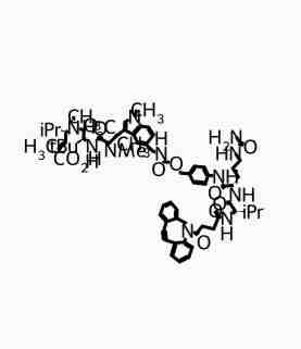 CN[C@H](C(=O)N[C@H](C(=O)N(C)[C@H](/C=C(\C)C(=O)O)C(C)C)C(C)(C)C)C(C)(C)c1cn(C)c2ccc(CNC(=O)OCc3ccc(NC(=O)[C@H](CCCNC(N)=O)NC(=O)[C@@H](NC(=O)CCC(=O)N4Cc5ccccc5C#Cc5ccccc54)C(C)C)cc3)cc12